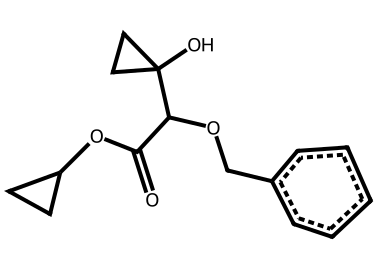 O=C(OC1CC1)C(OCc1ccccc1)C1(O)CC1